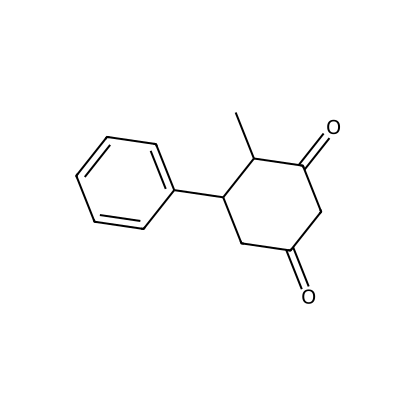 CC1C(=O)CC(=O)CC1c1ccccc1